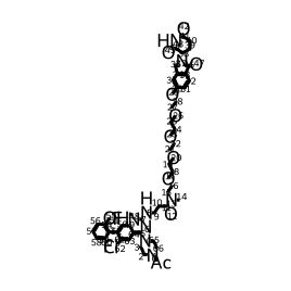 CC(=O)N1CCN(c2nc(NCCC(=O)N(C)CCOCCOCCOCCOCCOc3ccc4c(c3)CN(C3CCC(=O)NC3=O)C4=O)nc3c(F)c(-c4c(O)cccc4F)c(Cl)cc23)CC1